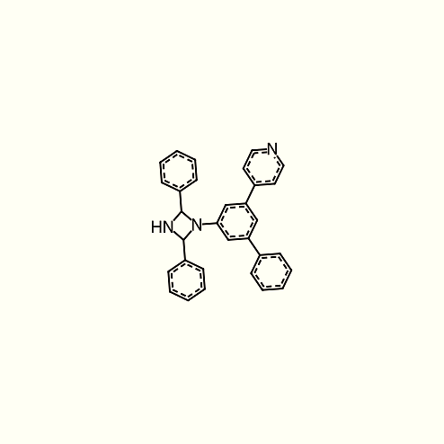 c1ccc(-c2cc(-c3ccncc3)cc(N3C(c4ccccc4)NC3c3ccccc3)c2)cc1